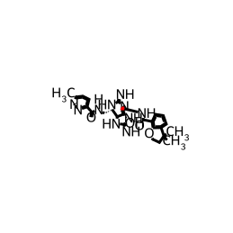 Cc1ccc(C(=O)NC[C@@H]2NC(=N)N3CC(NC(=O)c4cccc5c4OCCC5(C)C)[C@@H](O)C34NC(=N)NC24)nn1